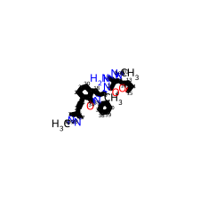 CC(NC(=O)c1c(N)nn(C)c1-c1ccco1)c1cc2cccc(C#Cc3cnn(C)c3)c2c(=O)n1-c1ccccc1